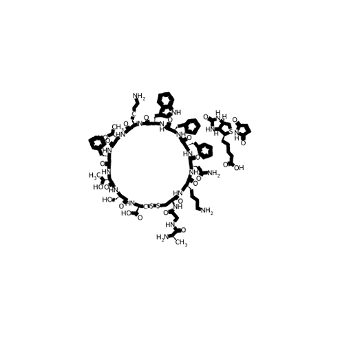 CC(O)[C@@H]1NC(=O)[C@H](Cc2ccccc2)NC(=O)[C@H](C(C)O)NC(=O)[C@H](CCCCN)NC(=O)[C@H](Cc2c[nH]c3ccccc23)NC(=O)[C@H](Cc2ccccc2)NC(=O)[C@H](Cc2ccccc2)NC(=O)[C@H](CC(N)=O)NC(=O)[C@H](CCCCN)NC(=O)[C@@H](NC(=O)CNC(=O)[C@H](C)N)CSSC[C@@H](C(=O)O)NC(=O)[C@H](CO)NC1=O.O=C(O)CCCC[C@@H]1SC[C@@H]2NC(=O)N[C@@H]21.O=C1C=CC(=O)N1